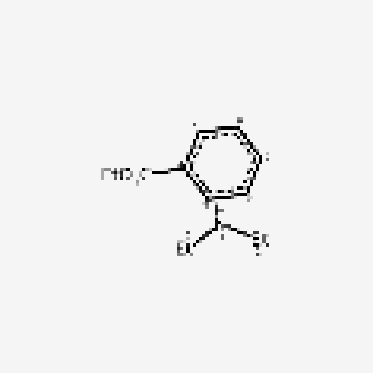 CCNCC.CCOC(=O)c1ccccc1